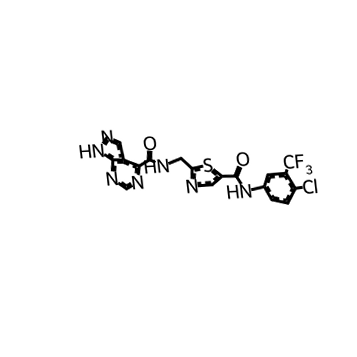 O=C(Nc1ccc(Cl)c(C(F)(F)F)c1)c1cnc(CNC(=O)c2ncnc3[nH]ncc23)s1